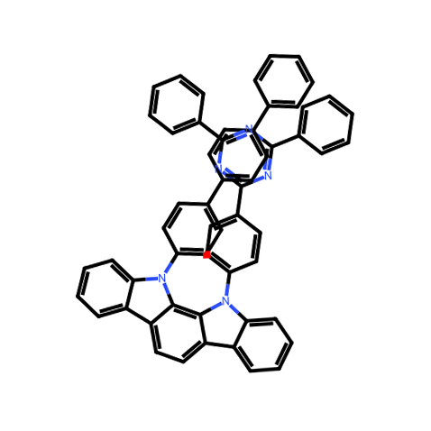 c1ccc(-c2ccc(-c3ccc(-n4c5ccccc5c5ccc6c7ccccc7n(-c7ccc(-c8nc(-c9ccccc9)nc(-c9ccccc9)n8)cc7)c6c54)cc3)cc2)cc1